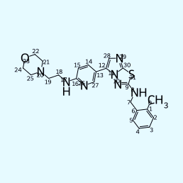 Cc1ccccc1CNc1nn2c(-c3ccc(NCCN4CCOCC4)nc3)cnc2s1